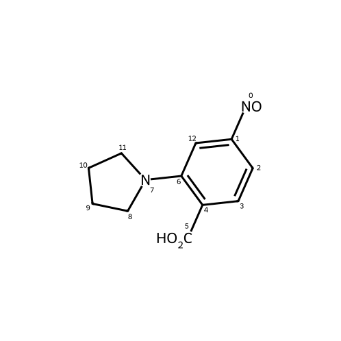 O=Nc1ccc(C(=O)O)c(N2CCCC2)c1